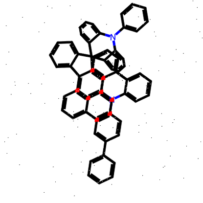 c1ccc(-c2ccc(N(c3ccc4c(c3)C3(c5ccccc5-4)c4ccccc4N(c4ccccc4)c4ccccc43)c3ccccc3-c3ccccc3-c3cccc4ccccc34)cc2)cc1